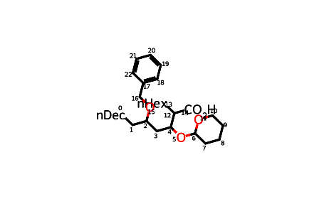 CCCCCCCCCCCC(CC(OC1CCCCO1)C(CCCCCC)C(=O)O)OCc1ccccc1